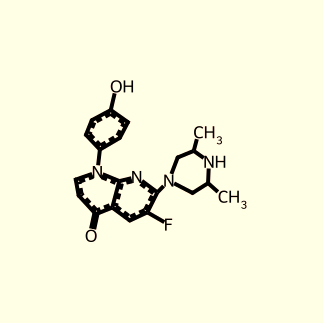 CC1CN(c2nc3c(cc2F)c(=O)ccn3-c2ccc(O)cc2)CC(C)N1